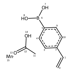 C=Cc1ccc(B(O)O)cc1.CC(=O)O.[Mn]